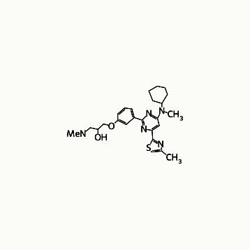 CNCC(O)COc1cccc(-c2nc(-c3nc(C)cs3)cc(N(C)C3CCCCC3)n2)c1